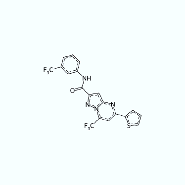 O=C(Nc1cccc(C(F)(F)F)c1)c1cc2nc(-c3cccs3)cc(C(F)(F)F)n2n1